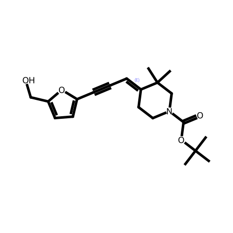 CC(C)(C)OC(=O)N1CC/C(=C\C#Cc2ccc(CO)o2)C(C)(C)C1